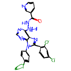 O=C(NNc1ncnc2c1nc(-c1ccc(Cl)cc1Cl)n2-c1ccc(Cl)cc1)c1cccnc1